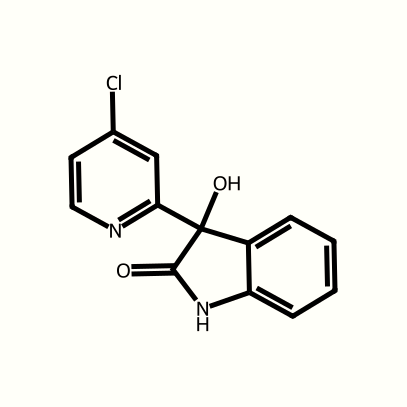 O=C1Nc2ccccc2C1(O)c1cc(Cl)ccn1